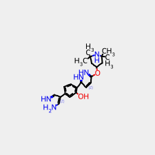 CC1(C)CC(OC(=N)/C=C\C(=N)c2ccc(/C(C=N)=C/N)cc2O)CC(C)(C)N1